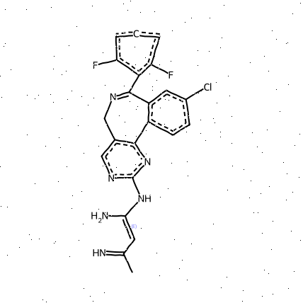 CC(=N)/C=C(\N)Nc1ncc2c(n1)-c1ccc(Cl)cc1C(c1c(F)cccc1F)=NC2